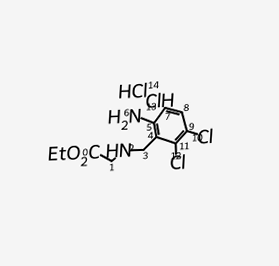 CCOC(=O)CNCc1c(N)ccc(Cl)c1Cl.Cl.Cl